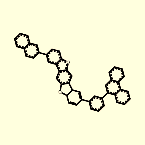 C1=CC2Oc3cc4c(cc3C2C=C1c1cccc(-c2cc3ccccc3c3ccccc23)c1)oc1ccc(-c2ccc3ccccc3c2)cc14